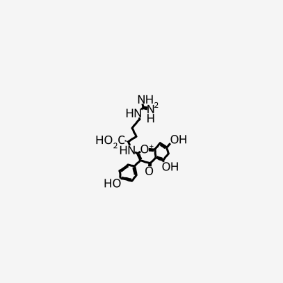 N=C(N)NCCC[C@H](NC1=C(c2ccc(O)cc2)C(=O)C2=C(O)CC(O)=CC2=[O+]1)C(=O)O